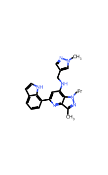 Cc1nn(C(C)C)c2c(NCc3cnn(C)c3)cc(-c3cccc4cc[nH]c34)nc12